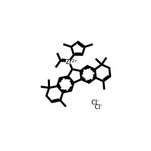 CC1=CC(C)[C]([Zr+2](=[C](C)C)[CH]2c3cc4c(cc3-c3cc5c(cc32)C(C)(C)CC=C5C)C(C)=CCC4(C)C)=C1.[Cl-].[Cl-]